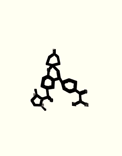 CCN(CC)C(=O)c1ccc(C2=CC3(CCNCC3)Oc3ccc(C(=O)N4[C@H](C)CC[C@H]4C)cc32)cc1